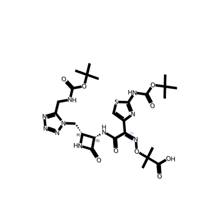 CC(C)(C)OC(=O)NCc1nnnn1C[C@H]1NC(=O)[C@H]1NC(=O)/C(=N\OC(C)(C)C(=O)O)c1csc(NC(=O)OC(C)(C)C)n1